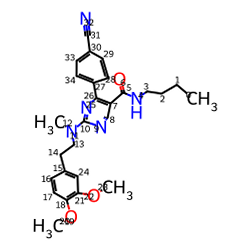 CCCCNC(=O)c1cnc(N(C)CCc2ccc(OC)c(OC)c2)nc1-c1ccc(C#N)cc1